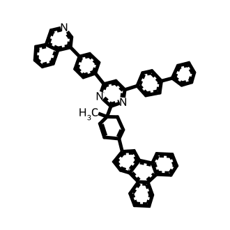 CC1(c2nc(-c3ccc(-c4ccccc4)cc3)cc(-c3ccc(-c4cncc5ccccc45)cc3)n2)C=CC(c2ccc3c4ccccc4c4ccccc4c3c2)=CC1